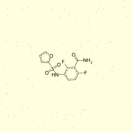 NC(=O)c1c(F)ccc(NS(=O)(=O)c2ccco2)c1F